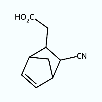 N#CC1C2C=CC(C2)C1CC(=O)O